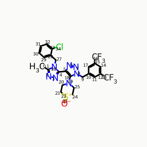 Cc1nnc(-c2nnn(Cc3cc(C(F)(F)F)cc(C(F)(F)F)c3)c2N2CC[S+]([O-])CC2)n1Cc1ccccc1Cl